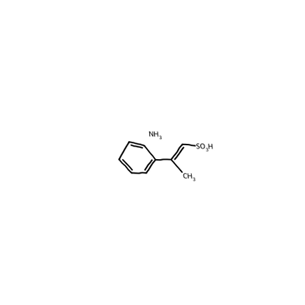 CC(=CS(=O)(=O)O)c1ccccc1.N